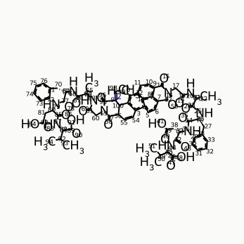 C=c1c2c(c3ccc4c5c(ccc1c35)C(=O)N(CC(=O)N[C@@H](C)C(=O)N[C@@H](Cc1ccccc1)C(=O)N[C@@H](CC(=O)O)C(=O)N[C@H](C(=O)O)C(C)C)C4=O)C=CC1C(=O)N(CC(=O)N[C@@H](C)C(=O)N[C@@H](Cc3ccccc3)C(=O)NC(CC(=O)O)C(=O)N[C@H](C(=O)O)C(C)C)C(=O)/C(=C/C)C21